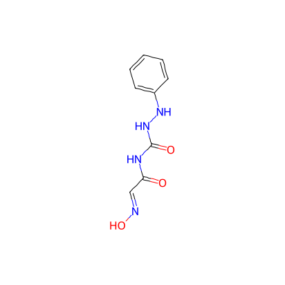 O=C(C=NO)NC(=O)NNc1ccccc1